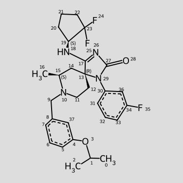 CC(C)Oc1cccc(CN2CC[C@@]3(C[C@@H]2C)C(N[C@H]2CCCC2(F)F)=NC(=O)N3c2cccc(F)c2)c1